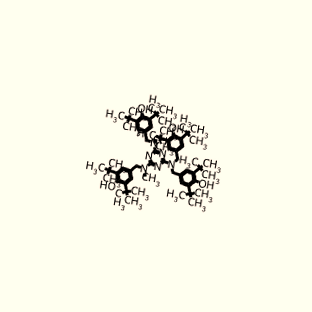 CN(Cc1cc(C(C)(C)C)c(O)c(C(C)(C)C)c1)c1nc(N(C)Cc2cc(C(C)(C)C)c(O)c(C(C)(C)C)c2)nc(N(Cc2cc(C(C)(C)C)c(O)c(C(C)(C)C)c2)Cc2cc(C(C)(C)C)c(O)c(C(C)(C)C)c2)n1